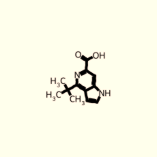 CC(C)(C)c1nc(C(=O)O)cc2[nH]ccc12